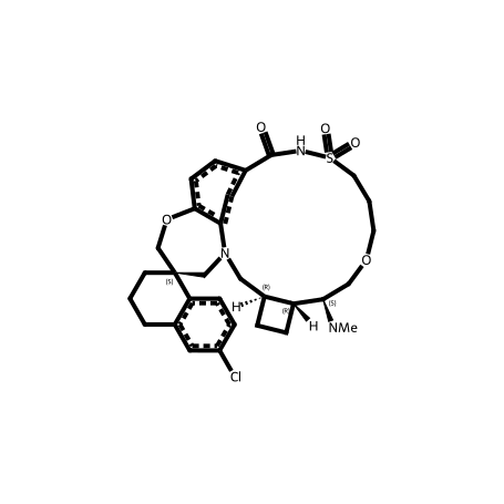 CN[C@@H]1COCCCS(=O)(=O)NC(=O)c2ccc3c(c2)N(C[C@@H]2CC[C@H]21)C[C@@]1(CCCc2cc(Cl)ccc21)CO3